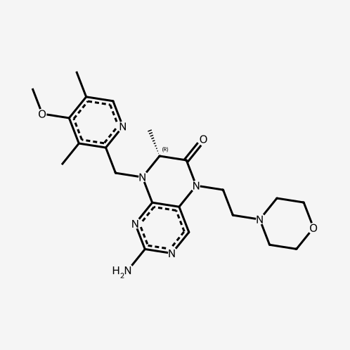 COc1c(C)cnc(CN2c3nc(N)ncc3N(CCN3CCOCC3)C(=O)[C@H]2C)c1C